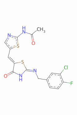 CC(=O)Nc1ncc(C=C2SC(=NCc3ccc(F)c(Cl)c3)NC2=O)s1